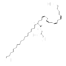 CCCCC/C=C\C/C=C\C/C=C\C/C=C\CCC(C(=O)CCCCCCCCCCCCCCCCC)C(=O)OCC(O)CO